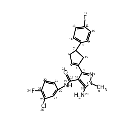 Cn1nc(C2=CCC(c3ccc(F)cc3)C2)c(C(=O)Nc2ccc(F)c(Cl)c2)c1N